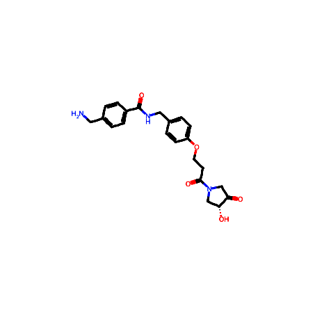 NCc1ccc(C(=O)NCc2ccc(OCCC(=O)N3CC(=O)[C@H](O)C3)cc2)cc1